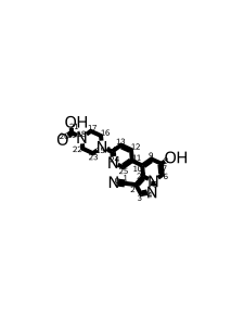 N#Cc1cnn2cc(O)cc(-c3ccc(N4CCN(C(=O)O)CC4)nc3)c12